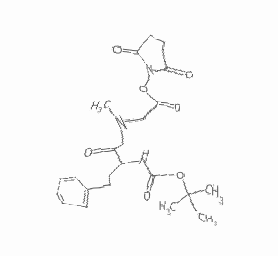 CN(CC(=O)ON1C(=O)CCC1=O)C(=O)C(Cc1ccccc1)NC(=O)OC(C)(C)C